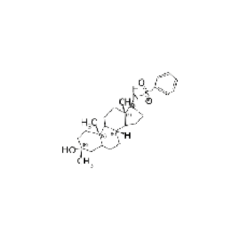 C[C@@]1(O)CC[C@@]2(C)C(CC[C@@H]3C2CC[C@@]2(C)C3CC[C@@H]2NS(=O)(=O)c2ccccc2)C1